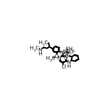 CCC(CCNC)c1ccc(Nc2ncc(Cl)c(NC3C=CC=CC3NS(C)(=O)=O)n2)c(OC)c1